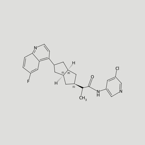 CC(C(=O)Nc1cncc(Cl)c1)[C@H]1C[C@H]2CC(c3ccnc4ccc(F)cc34)C[C@H]2C1